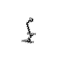 CC/C=C\C/C=C\C/C=C\CCCCCCCC(=O)OCC(CO)CO[C@H]1C[C@@H](O)C[C@@H](CO)O1